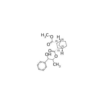 COC(=O)[C@@H]1[C@@H]2CC[C@@H](C2)[C@@H]1C(=O)OC(C)C(O)c1ccccc1